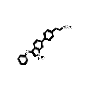 CCCCCCCCCCCCc1ccc(-c2ccc3c(c2)[SH]([O])C=C3Oc2ccccc2)cc1